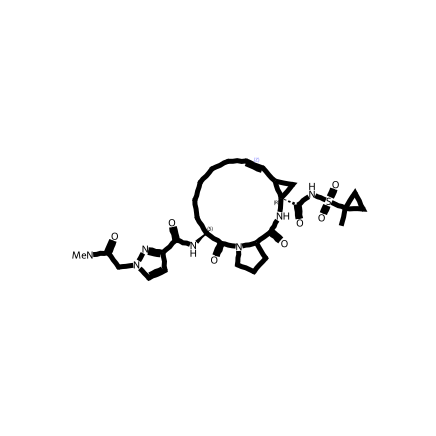 CNC(=O)Cn1ccc(C(=O)N[C@H]2CCCCC/C=C\C3C[C@@]3(C(=O)NS(=O)(=O)C3(C)CC3)NC(=O)C3CCCN3C2=O)n1